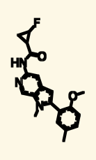 COc1ccc(C)cc1-c1cc2cc(NC(=O)C3CC3F)ncc2n1C